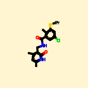 Cc1cc(C)c(CNC(=O)c2cc(Cl)cc(SC(C)C)c2C)c(=O)[nH]1